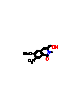 COc1cc2cc(CO)n(C)c(=O)c2cc1[N+](=O)[O-]